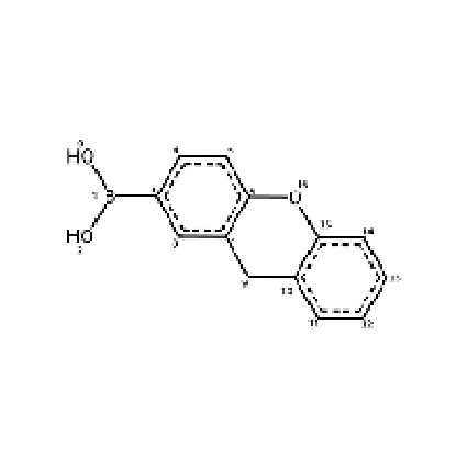 OB(O)c1ccc2c(c1)Cc1ccccc1O2